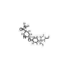 C=CCC(CC)(CC)c1ccc(Oc2ccc(C(=O)N(C)C)cn2)cc1